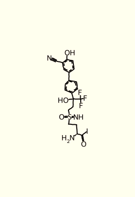 N#Cc1cc(-c2ccc(C(O)(CCS(=N)(=O)CC[C@H](N)C(=O)I)C(F)(F)F)cc2)ccc1O